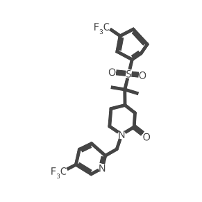 CC(C)(C1CCN(Cc2ccc(C(F)(F)F)cn2)C(=O)C1)S(=O)(=O)c1cccc(C(F)(F)F)c1